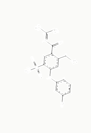 CCc1cc(Oc2cccc(Cl)c2)c(S(C)(=O)=O)cc1C(=O)N=C(N)N